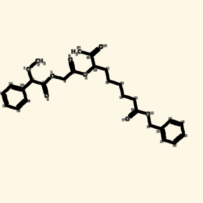 COC(C(=O)OCC(=O)OC(CCCCCC(=O)OCc1ccccc1)C(C)=O)c1ccccc1